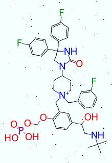 CC(C)(C)NCC(O)c1ccc(OCOP(=O)(O)O)c(C[N+]2(Cc3cccc(F)c3)CCC(N3CC(c4ccc(F)cc4)(c4ccc(F)cc4)NC3=O)CC2)c1